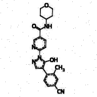 Cc1cc(C#N)ccc1-c1cnn(-c2ccc(C(=O)NC3CCOCC3)cn2)c1O